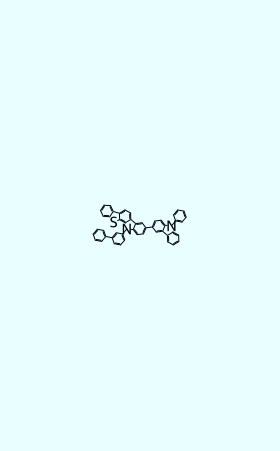 c1ccc(-c2cccc(-n3c4ccc(-c5ccc6c(c5)c5ccccc5n6-c5ccccc5)cc4c4ccc5c6ccccc6sc5c43)c2)cc1